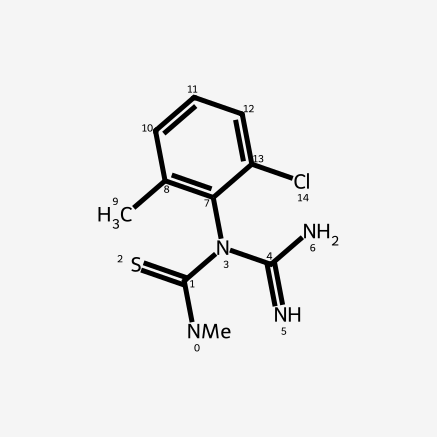 CNC(=S)N(C(=N)N)c1c(C)cccc1Cl